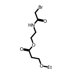 CCOCCC(=O)OCCNC(=O)CBr